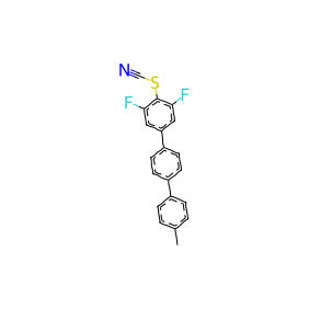 Cc1ccc(-c2ccc(-c3cc(F)c(SC#N)c(F)c3)cc2)cc1